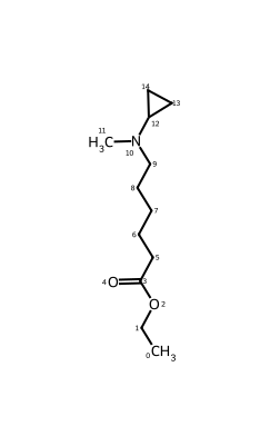 CCOC(=O)CCCCCN(C)C1CC1